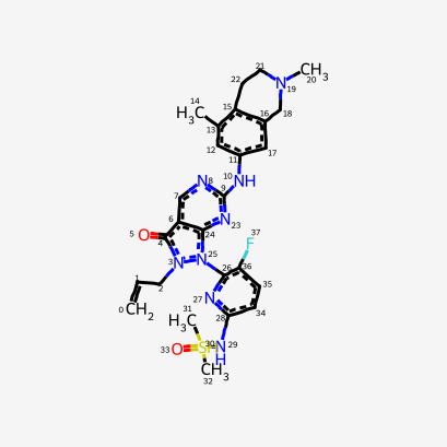 C=CCn1c(=O)c2cnc(Nc3cc(C)c4c(c3)CN(C)CC4)nc2n1-c1nc(N[SH](C)(C)=O)ccc1F